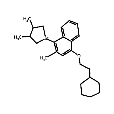 Cc1cc(OCCC2CCCCC2)c2ccccc2c1[S+]1CC(C)C(C)C1